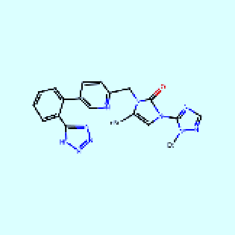 CCCCc1cn(-c2ncnn2CC)c(=O)n1Cc1ccc(-c2ccccc2-c2nnn[nH]2)cn1